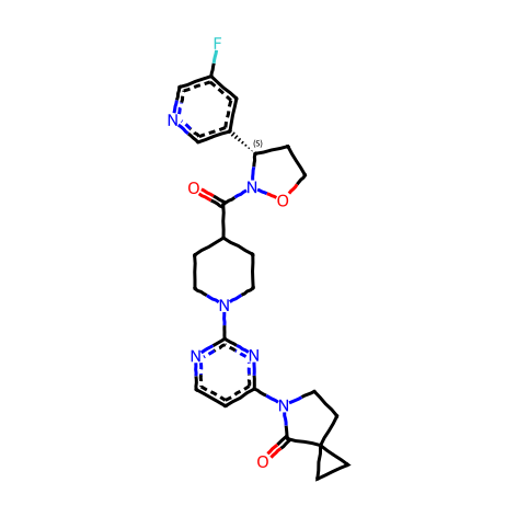 O=C(C1CCN(c2nccc(N3CCC4(CC4)C3=O)n2)CC1)N1OCC[C@H]1c1cncc(F)c1